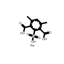 Cc1cc(C)c(C(=O)O)c(S(=O)(=O)O)c1C(=O)O.[Na]